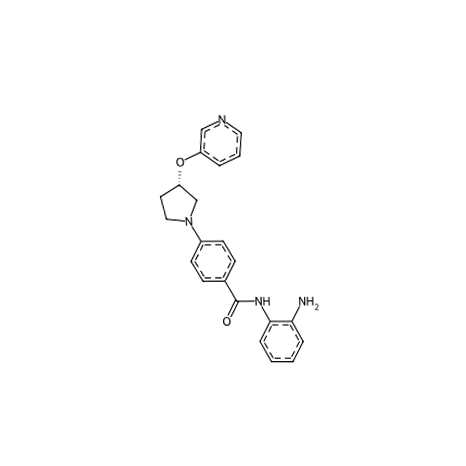 Nc1ccccc1NC(=O)c1ccc(N2CC[C@H](Oc3cccnc3)C2)cc1